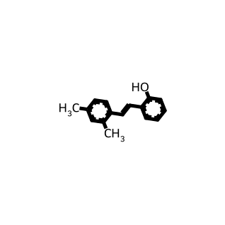 Cc1ccc(C=Cc2ccccc2O)c(C)c1